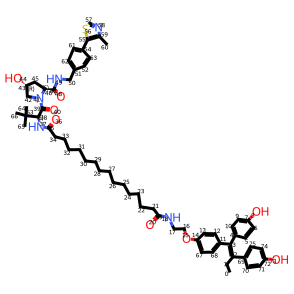 CCC(=C(c1ccc(O)cc1)c1ccc(OCCNC(=O)CCCCCCCCCCCCCCC(=O)N[C@H](C(=O)N2C[C@H](O)C[C@H]2C(=O)NCc2ccc(-c3scnc3C)cc2)C(C)(C)C)cc1)c1ccc(O)cc1